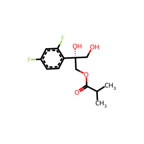 CC(C)C(=O)OC[C@](O)(CO)c1ccc(F)cc1F